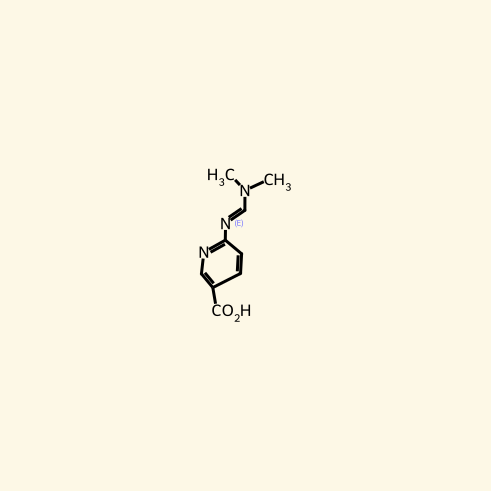 CN(C)/C=N/c1ccc(C(=O)O)cn1